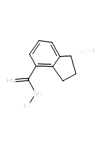 N=C(NO)c1cccc2c1CC[C@H]2O